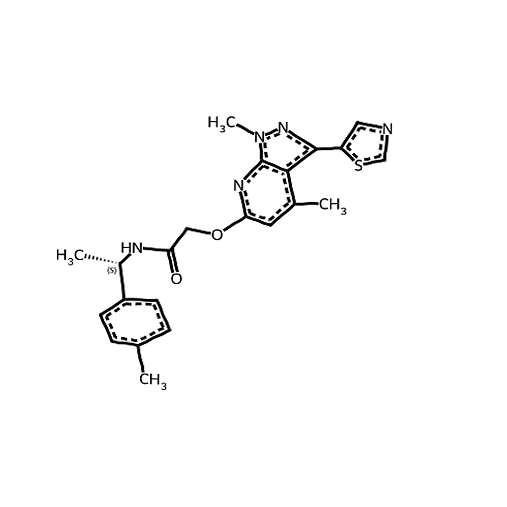 Cc1ccc([C@H](C)NC(=O)COc2cc(C)c3c(-c4cncs4)nn(C)c3n2)cc1